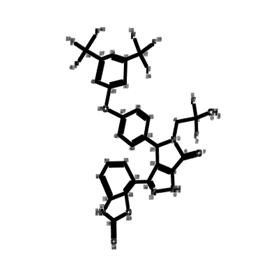 CC(F)(F)CN1C(=O)c2[nH]nc(-c3cccc4[nH]c(=O)oc34)c2C1c1ccc(Oc2cc(C(F)(F)F)cc(C(F)(F)F)c2)cc1